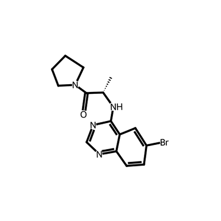 C[C@H](Nc1ncnc2ccc(Br)cc12)C(=O)N1CCCC1